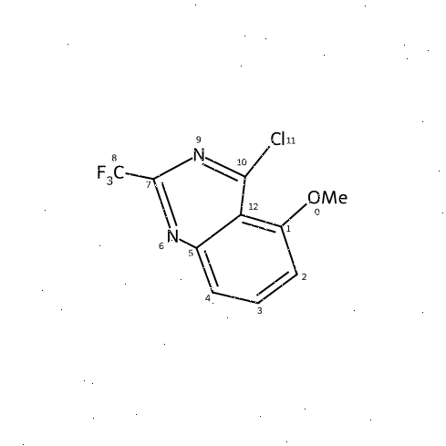 COc1cccc2nc(C(F)(F)F)nc(Cl)c12